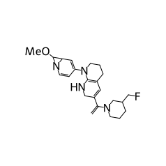 C=C(C1=CC2=C(NC1)N(C1=CC3C(OC)N3C=C1)CCC2)N1CCCC(CF)C1